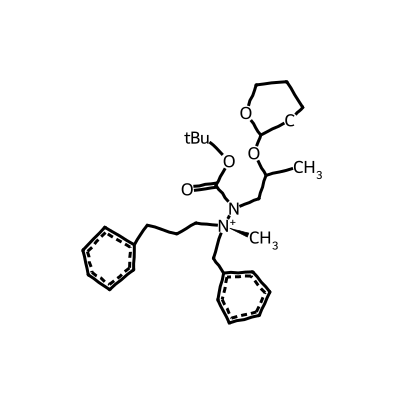 CC(CN(C(=O)OC(C)(C)C)[N@@+](C)(CCCc1ccccc1)Cc1ccccc1)OC1CCCCO1